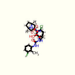 Cc1c(F)cccc1NC(=O)Nc1ccc(Cl)c(S(=O)(=O)N2[C@@H]3CC[C@H]2CC(NCC2CC2)C3)c1O